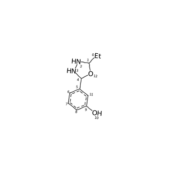 CCC1NNC(c2cccc(O)c2)O1